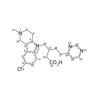 CN1CCc2c(c3cc(Cl)ccc3n2CC(CCc2ccncn2)CC(=O)O)C1